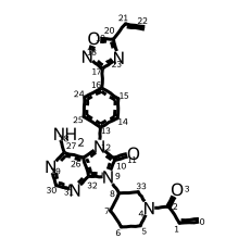 C=CC(=O)N1CCCC(n2c(=O)n(-c3ccc(-c4noc(C=C)n4)cc3)c3c(N)ncnc32)C1